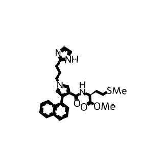 COC(=O)[C@H](CCSC)NC(=O)c1cn(CCCc2ncc[nH]2)cc1-c1cccc2ccccc12